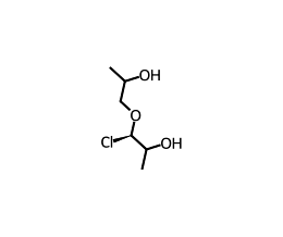 CC(O)CO[C@H](Cl)C(C)O